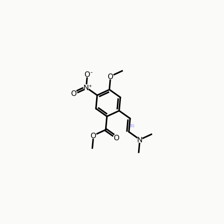 COC(=O)c1cc([N+](=O)[O-])c(OC)cc1/C=C/N(C)C